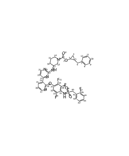 O=C(OC1CC1Cc1ccccc1)N1CCCC(Nc2nccc(-c3cccnc3Oc3cc(F)c(NS(=O)(=O)Cc4ccccc4F)c(F)c3F)n2)C1